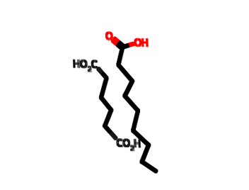 CCCCCCCCC(=O)O.O=C(O)CCCCC(=O)O